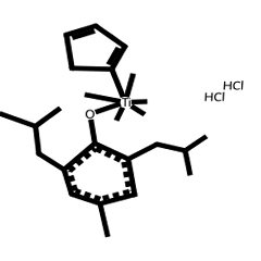 Cc1cc(CC(C)C)c([O][Ti]([CH3])([CH3])([CH3])([CH3])([CH3])[C]2=CC=CC2)c(CC(C)C)c1.Cl.Cl